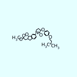 COC(=O)CC1Cc2ccc(N3CCC(Oc4ccc(OCCC(C)C)cc4)C3=O)cc2C1=O